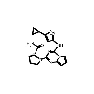 NC(=O)[C@@H]1CCCN1c1nc(Nc2cc(C3CC3)[nH]n2)n2cccc2n1